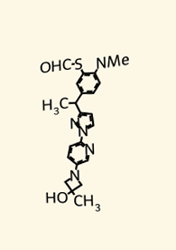 CNc1ccc(C(C)c2ccn(-c3ccc(N4CC(C)(O)C4)cn3)n2)cc1SC=O